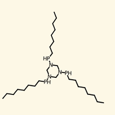 CCCCCCCCPN1CN(PCCCCCCCC)CN(PCCCCCCCC)C1